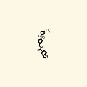 Cc1csc(S(=O)(=O)c2ccc(CNC(=O)c3ccc4nccn4c3)cc2)c1